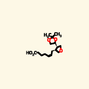 CC1(C)OCC([C@@H]2COC[C@@H]2C/C=C\CCCC(=O)O)O1